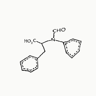 O=CN(c1ccccc1)C(Cc1ccccc1)C(=O)O